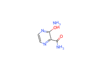 N.NC(=O)c1nccnc1O